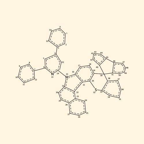 c1ccc(-c2cc(-c3ccccc3)nc(-n3c4ccc5c(c4c4c6ccccc6ccc43)Sc3ccccc3C53c4ccccc4-c4ccccc43)c2)cc1